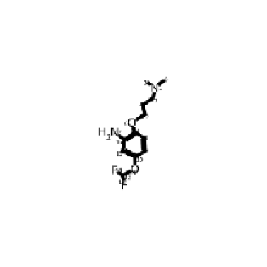 CN(C)CCCOc1ccc(OC(F)F)cc1N